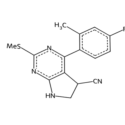 CSc1nc2c(c(-c3ccc(F)cc3C)n1)C(C#N)CN2